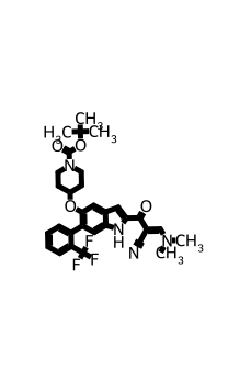 CN(C)/C=C(\C#N)C(=O)c1cc2cc(OC3CCN(C(=O)OC(C)(C)C)CC3)c(-c3ccccc3C(F)(F)F)cc2[nH]1